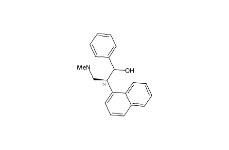 CNC[C@H](c1cccc2ccccc12)C(O)c1ccccc1